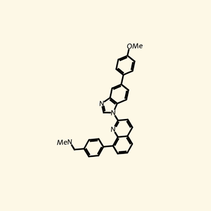 CNCc1ccc(-c2cccc3ccc(-n4cnc5cc(-c6ccc(OC)cc6)ccc54)nc23)cc1